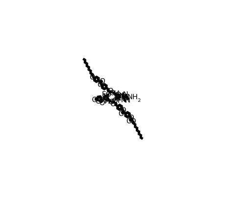 CCCCCCCCCCOC(=O)Oc1ccc(C(=O)Oc2ccc(CSP3(=O)OC[C@H]4O[C@@H](n5ccc(=O)oc5=O)[C@@H](F)C4OP(=O)(SCc4ccc(OC(=O)c5ccc(OCCCCCCCCCC)cc5)cc4)OC[C@H]4O[C@@H](n5cnc6c(N)ncnc65)[C@@H](F)C4O3)cc2)cc1